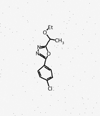 CCOC(C)c1nnc(-c2ccc(Cl)cc2)o1